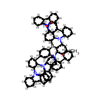 Cc1cc2c3c(c1)N(c1ccccc1-c1ccccc1)c1cc(-n4c5ccccc5c5ccccc54)ccc1B3c1ccc(-c3cccc(-n4c5ccccc5c5ccccc54)c3-n3c4ccccc4c4ccccc43)cc1N2c1ccccc1-c1ccccc1